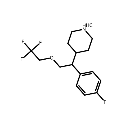 Cl.Fc1ccc(C(COCC(F)(F)F)C2CCNCC2)cc1